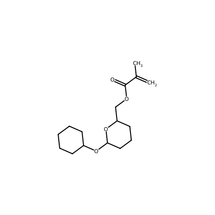 C=C(C)C(=O)OCC1CCCC(OC2CCCCC2)O1